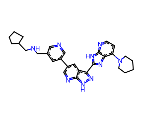 c1cc(N2CCCCC2)c2nc(-c3n[nH]c4ncc(-c5cncc(CNCC6CCCC6)c5)cc34)[nH]c2n1